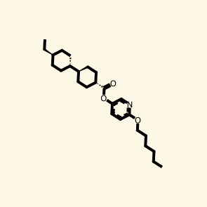 CCCCCCOc1ccc(OC(=O)[C@H]2CC[C@H]([C@H]3CC[C@H](CC)CC3)CC2)cn1